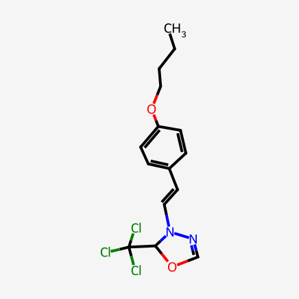 CCCCOc1ccc(/C=C/N2N=COC2C(Cl)(Cl)Cl)cc1